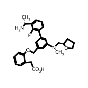 C[C@@H](N)c1cccc(-c2cc(COc3ccccc3CC(=O)O)cc(N(C)C[C@H]3CCCO3)c2)c1F